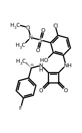 CON(C)S(=O)(=O)c1c(Cl)ccc(Nc2c(N[C@@H](C)c3ccc(F)cc3)c(=O)c2=O)c1O